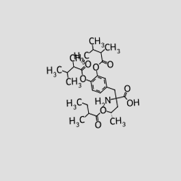 CCC(C)C(=O)O[C@@H](C)CC(N)(Cc1ccc(OC(=O)C(C)C(C)C)c(OC(=O)C(C)C(C)C)c1)C(=O)O